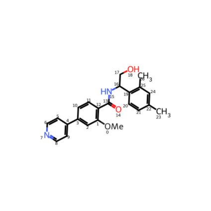 COc1cc(-c2ccncc2)ccc1C(=O)NC(CO)c1ccc(C)cc1C